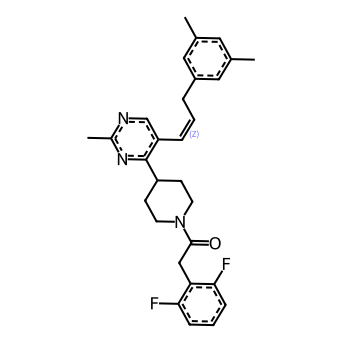 Cc1cc(C)cc(C/C=C\c2cnc(C)nc2C2CCN(C(=O)Cc3c(F)cccc3F)CC2)c1